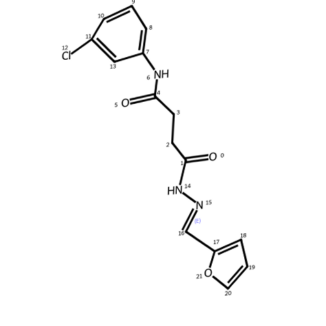 O=C(CCC(=O)Nc1cccc(Cl)c1)N/N=C/c1ccco1